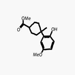 COC(=O)C1CCC(C)(c2cc(OC)ccc2O)CC1